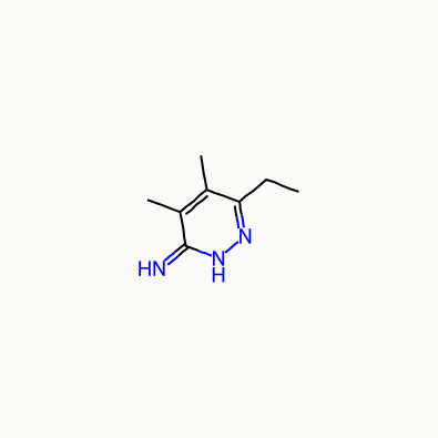 CCc1n[nH]c(=N)c(C)c1C